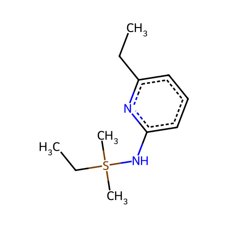 CCc1cccc(NS(C)(C)CC)n1